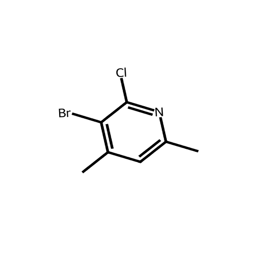 Cc1cc(C)c(Br)c(Cl)n1